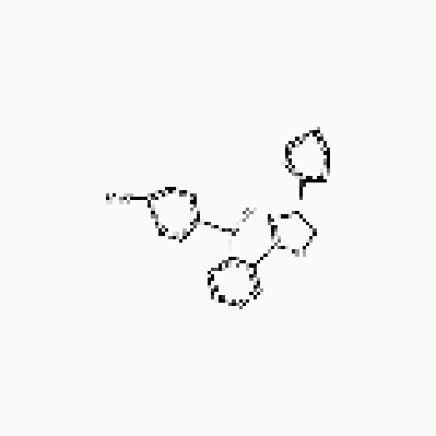 COc1ccc([S@+]([O-])c2ccccc2C2=N[C@@H](c3ccccc3)CO2)cc1